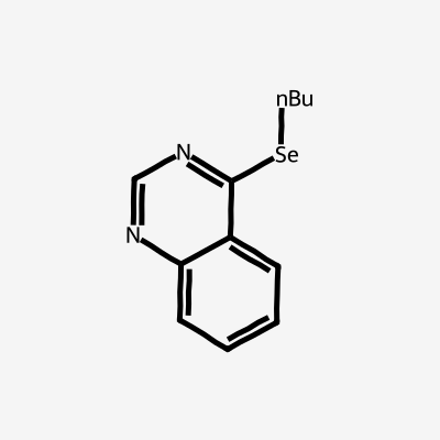 CCCC[Se]c1ncnc2ccccc12